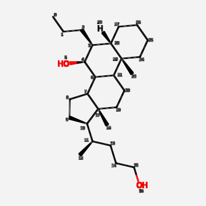 CCC[C@@H]1[C@H](O)C2C3CC[C@H]([C@H](C)CCCO)[C@@]3(C)CCC2[C@@]2(C)CCCC[C@@H]12